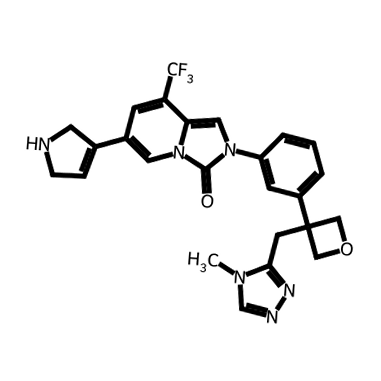 Cn1cnnc1CC1(c2cccc(-n3cc4c(C(F)(F)F)cc(C5=CCNC5)cn4c3=O)c2)COC1